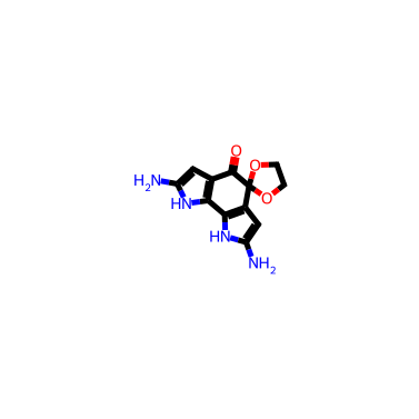 Nc1cc2c([nH]1)-c1[nH]c(N)cc1C1(OCCO1)C2=O